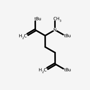 C=C(CCC(C(=C)C(C)(C)C)N(C)C(C)(C)C)C(C)(C)C